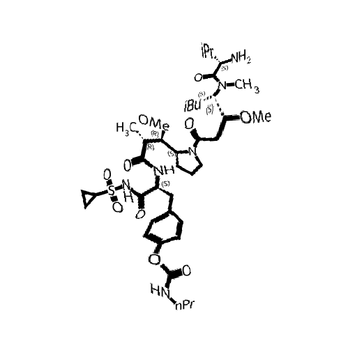 CCCNC(=O)Oc1ccc(C[C@H](NC(=O)[C@H](C)[C@@H](OC)[C@@H]2CCCN2C(=O)CC(OC)[C@H]([C@@H](C)CC)N(C)C(=O)[C@@H](N)C(C)C)C(=O)NS(=O)(=O)C2CC2)cc1